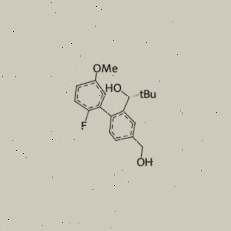 COc1ccc(F)c(-c2ccc(CO)cc2[C@H](O)C(C)(C)C)c1